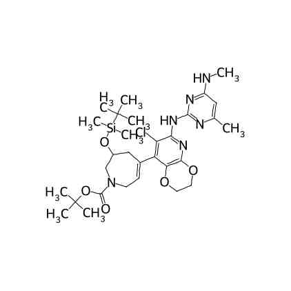 CNc1cc(C)nc(Nc2nc3c(c(C4=CCN(C(=O)OC(C)(C)C)CC(O[Si](C)(C)C(C)(C)C)C4)c2Cl)OCCO3)n1